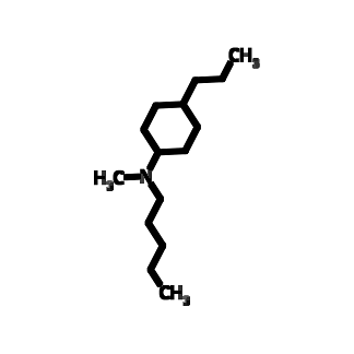 CCCCCN(C)C1CCC(CCC)CC1